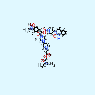 Cc1cc(C[C@@H](OC(=O)N2CCC(N3CCc4ccccc4NC3=O)CC2)C(=O)N2CCN(C3CCN(CCC(=O)OCC(=O)N(C)C)CC3)CC2)cc2oc(=O)n(C)c12